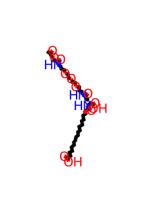 CC(=O)COCC(=O)NCCCOCCOCCOCCCNC(=O)CC[C@@H](NC(=O)CCCCCCCCCCCCCCCCCCC(=O)O)C(=O)O